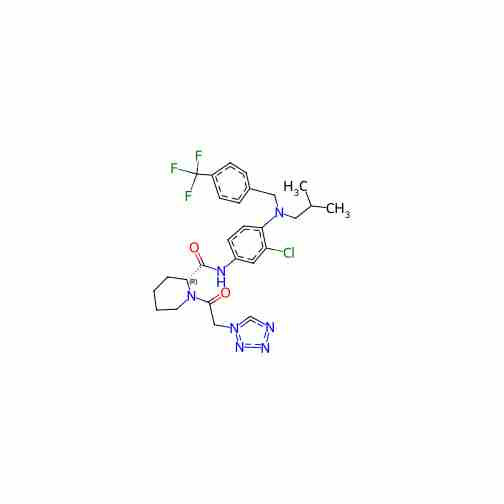 CC(C)CN(Cc1ccc(C(F)(F)F)cc1)c1ccc(NC(=O)[C@H]2CCCCN2C(=O)Cn2cnnn2)cc1Cl